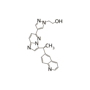 C[C@@H](c1ccc2ncccc2c1)c1cnc2ccc(-c3cnn(CCO)c3)nn12